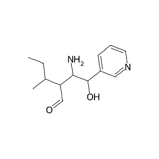 CCC(C)C(C=O)C(N)C(O)c1cccnc1